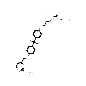 CSc1nccc(COc2ccc(C(C)(C)c3ccc(OCCCNC(=O)OC(C)(C)C)cc3)cc2)n1